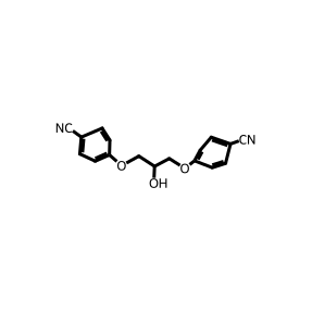 N#Cc1ccc(OCC(O)COc2ccc(C#N)cc2)cc1